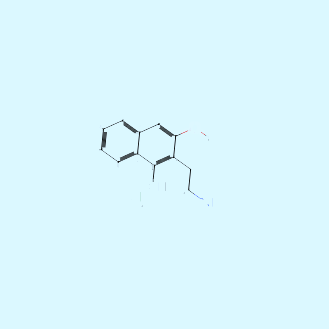 COc1cc2ccccc2c(C)c1CCN.Cl